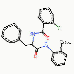 COc1ccccc1NC(=O)C(Cc1ccccc1)NC(=O)c1ccccc1Cl